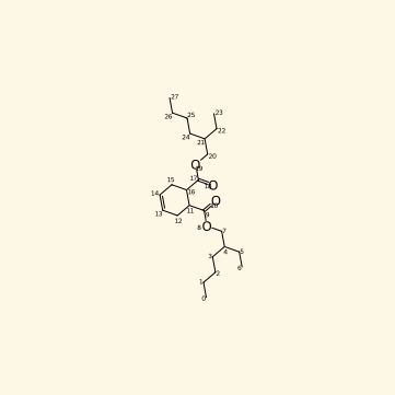 CCCCC(CC)COC(=O)C1CC=CCC1C(=O)OCC(CC)CCCC